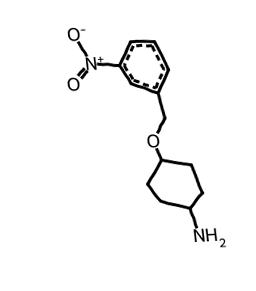 NC1CCC(OCc2cccc([N+](=O)[O-])c2)CC1